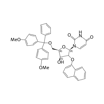 COc1ccc(C(OC[C@H]2O[C@@H](n3ccc(=O)[nH]c3=O)C(Oc3cccc4ccccc34)[C@H]2O)(c2ccccc2)c2ccc(OC)cc2)cc1